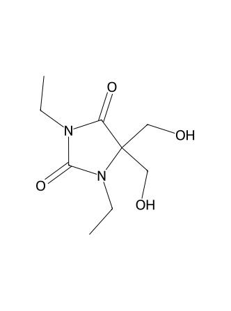 CCN1C(=O)N(CC)C(CO)(CO)C1=O